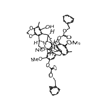 COc1cc2c(cc1OC(=O)OCc1ccccc1)CCN[C@]21CS[C@@H]2c3c(O)c(C)c4c(c3[C@H](COC1=O)N1C2[C@H]2c3c(cc(C)c(OC)c3OC(=O)OCc3ccccc3)C[C@@H]([C@@H]1C#N)N2C)OCO4